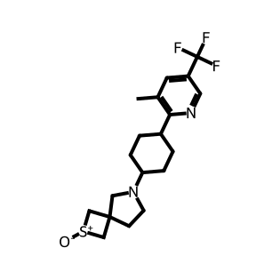 Cc1cc(C(F)(F)F)cnc1C1CCC(N2CCC3(C2)C[S+]([O-])C3)CC1